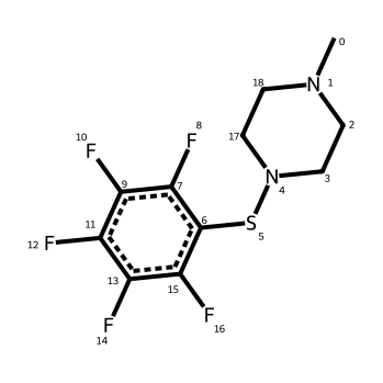 CN1CCN(Sc2c(F)c(F)c(F)c(F)c2F)CC1